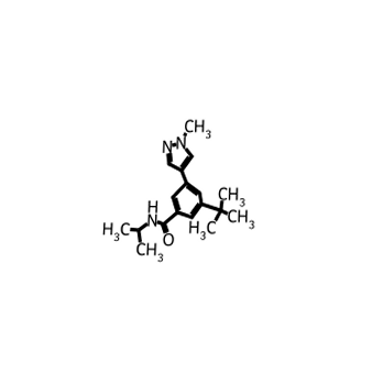 CC(C)NC(=O)c1cc(-c2cnn(C)c2)cc(C(C)(C)C)c1